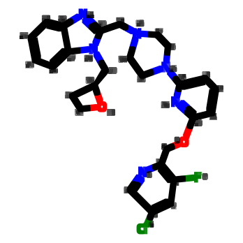 Fc1cc(Cl)cnc1COc1cccc(N2CCN(Cc3nc4ccccc4n3C[C@@H]3CCO3)CC2)n1